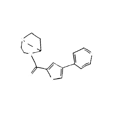 O=C(c1cc(-c2ccncc2)cs1)N1CCN2CCC1CC2